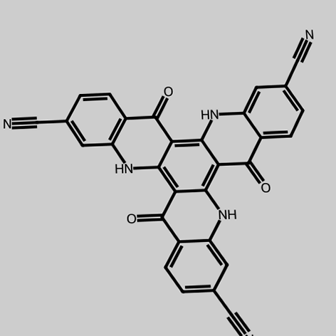 N#Cc1ccc2c(=O)c3c4[nH]c5cc(C#N)ccc5c(=O)c4c4[nH]c5cc(C#N)ccc5c(=O)c4c3[nH]c2c1